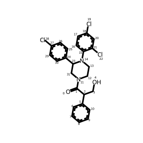 O=C(C(CO)c1ccccc1)N1CCN(c2ccc(Cl)cc2Cl)C(c2ccc(Cl)cc2)C1